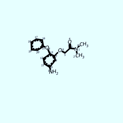 CN(C)C(=O)COc1cc(N)ccc1Oc1ccccc1